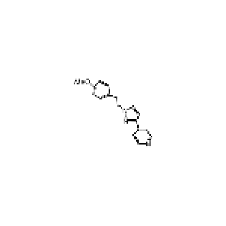 COc1ccc(CCn2ccc(-c3ccncc3)n2)cc1